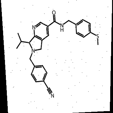 CSc1ccc(CNC(=O)c2cnc3c(c2)CN(Cc2ccc(C#N)cc2)C3C(C)C)cc1